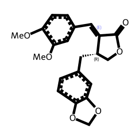 COc1ccc(/C=C2/C(=O)OC[C@@H]2Cc2ccc3c(c2)OCO3)cc1OC